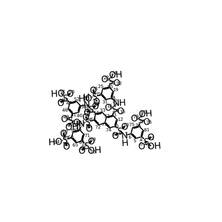 O=S(=O)(O)c1cc(NS(=O)(=O)c2cc(S(=O)(=O)Nc3cc(S(=O)(=O)O)cc(S(=O)(=O)O)c3)c3cc(S(=O)(=O)Nc4cc(S(=O)(=O)O)cc(S(=O)(=O)O)c4)c(S(=O)(=O)Nc4cc(S(=O)(=O)O)cc(S(=O)(=O)O)c4)cc3c2)cc(S(=O)(=O)O)c1